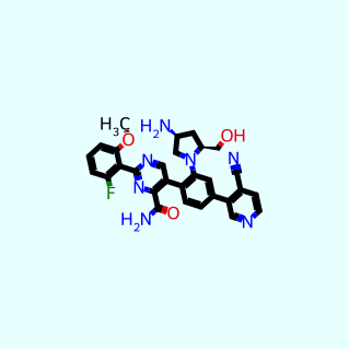 COc1cccc(F)c1-c1ncc(-c2ccc(-c3cnccc3C#N)cc2N2C[C@@H](N)C[C@H]2CO)c(C(N)=O)n1